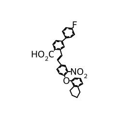 O=C(O)c1ccc(-c2ccc(F)cc2)cc1C=Cc1ccc(Oc2cccc3c2CCCC3)c([N+](=O)[O-])c1